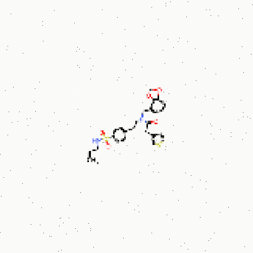 C=CCNS(=O)(=O)c1ccc(CCN(Cc2cccc3c2OCO3)C(=O)Cc2ccsc2)cc1